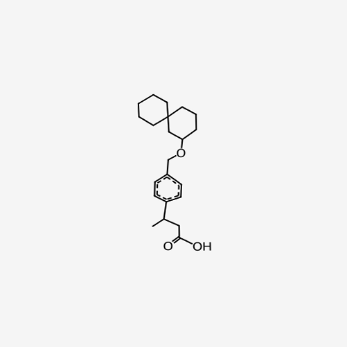 CC(CC(=O)O)c1ccc(COC2CCCC3(CCCCC3)C2)cc1